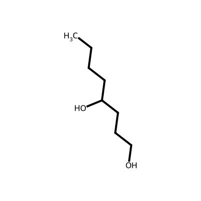 CCCCC(O)CCCO